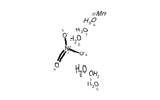 O.O.O.O.O.O.O=[N+]([O-])[O-].[Mn]